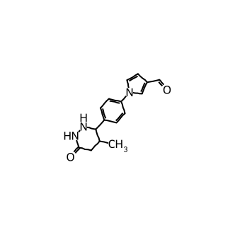 CC1CC(=O)NNC1c1ccc(-n2ccc(C=O)c2)cc1